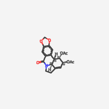 CC(=O)O[C@H]1[C@H]2c3cc4c(cc3C(=O)N3CCC(=C[C@@H]1OC(C)=O)[C@H]23)OCO4